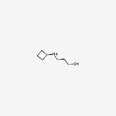 OCCCNC1CCC1